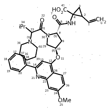 C=CC1CC1(NC(=O)[C@@H]1C[C@@H](Oc2cc(-c3ccccc3)nc3cc(OC)ccc23)CN1C(=O)C(C(C)C)N1CCCCC1)C(=O)O